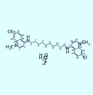 C[n+]1ccc(NCCCCCCCCCCNc2cc[n+](C)c3cc(Cl)ccc23)c2ccc(Cl)cc21.O.O.[I-].[I-]